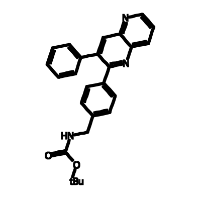 CC(C)(C)OC(=O)NCc1ccc(-c2nc3cccnc3cc2-c2ccccc2)cc1